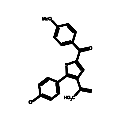 C=C(C(=O)O)c1cc(C(=O)c2ccc(OC)cc2)sc1-c1ccc(Cl)cc1